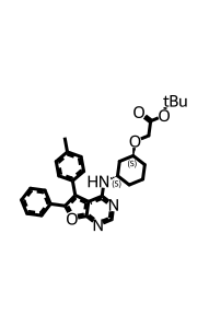 Cc1ccc(-c2c(-c3ccccc3)oc3ncnc(N[C@H]4CCC[C@H](OCC(=O)OC(C)(C)C)C4)c23)cc1